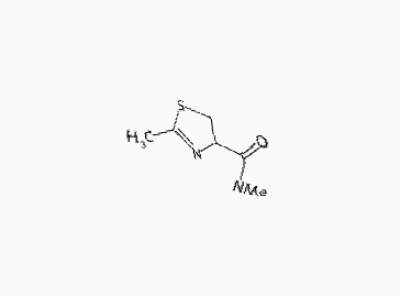 CNC(=O)C1CSC(C)=N1